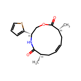 C[C@@H]1CC=CC[C@H](C)C(=O)N[C@H](c2cccs2)COC1=O